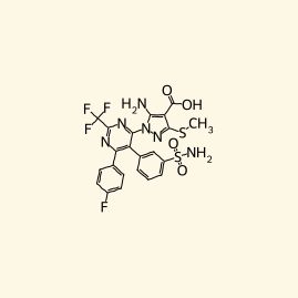 CSc1nn(-c2nc(C(F)(F)F)nc(-c3ccc(F)cc3)c2-c2cccc(S(N)(=O)=O)c2)c(N)c1C(=O)O